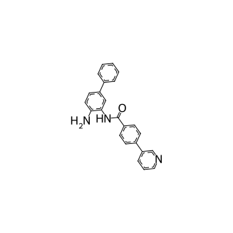 Nc1ccc(-c2ccccc2)cc1NC(=O)c1ccc(-c2cccnc2)cc1